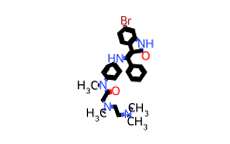 CN(C)CCN(C)CC(=O)N(C)c1ccc(NC(=C2C(=O)Nc3cc(Br)ccc32)c2ccccc2)cc1